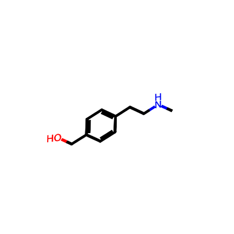 CNCCc1ccc(CO)cc1